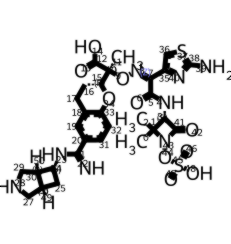 CC1(C)[C@H](NC(=O)/C(=N\O[C@](C)(C(=O)O)[C@H]2CCc3cc(C(=N)N[C@H]4C[C@@H]5CNC[C@@H]54)ccc3O2)c2csc(N)n2)C(=O)N1OS(=O)(=O)O